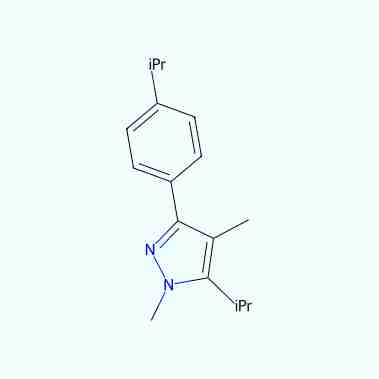 Cc1c(-c2ccc(C(C)C)cc2)nn(C)c1C(C)C